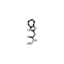 CCCCNC(=O)[CH]c1nc2ccccc2[nH]1